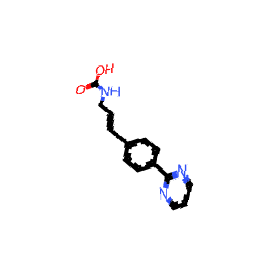 O=C(O)NC/C=C/c1ccc(-c2ncccn2)cc1